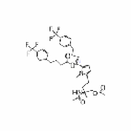 CC(=O)N[C@](C)(CCc1ccc(/C(=C/CCc2ccc(C(F)(F)F)cc2)OC(=O)CCCc2ccc(C(F)(F)F)cc2)n1C)COC(C)=O